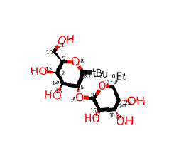 CC[C@H]1OC(O[C@H]2C(C(C)(C)C)O[C@H](CO)[C@H](O)[C@@H]2O)[C@H](O)[C@@H](O)[C@H]1O